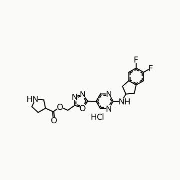 Cl.O=C(OCc1nnc(-c2cnc(NC3Cc4cc(F)c(F)cc4C3)nc2)o1)C1CCNC1